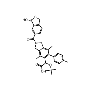 Cc1ccc(-c2c(C)c3c(c(C)c2C(OC(C)(C)C)C(=O)O)CN(C(=O)c2ccc4c(c2)B(O)OC4)C3)cc1